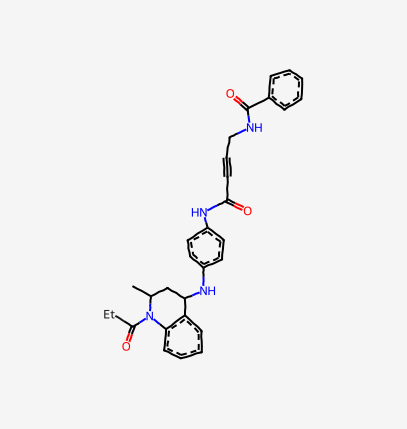 CCC(=O)N1c2ccccc2C(Nc2ccc(NC(=O)C#CCNC(=O)c3ccccc3)cc2)CC1C